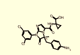 C[C@@]1(Cc2ccc(N)cc2)C(=O)N(c2cc(Cl)cc(Cl)c2)c2ncc(C(=O)NC3(C(=O)O)CC3)n21